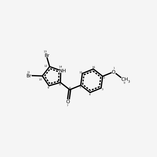 COc1ccc(C(=O)c2cc(Br)c(Br)[nH]2)cc1